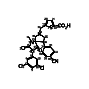 CN1C(=O)N(c2cc(Cl)cc(Cl)c2)C(=O)C12CN(Cc1ccc(C(=O)O)s1)CC2c1ccc(C#N)cc1